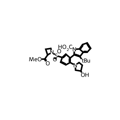 COC(=O)C1CCN1S(=O)(=O)c1ccc(N2CCC(O)C2)c(-c2c(C(C)(C)C)c3ccccc3n2C(=O)O)c1